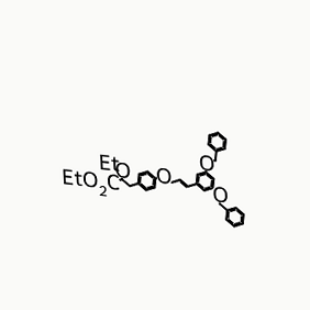 CCOC(=O)C(Cc1ccc(OCC=Cc2cc(OCc3ccccc3)cc(OCc3ccccc3)c2)cc1)OCC